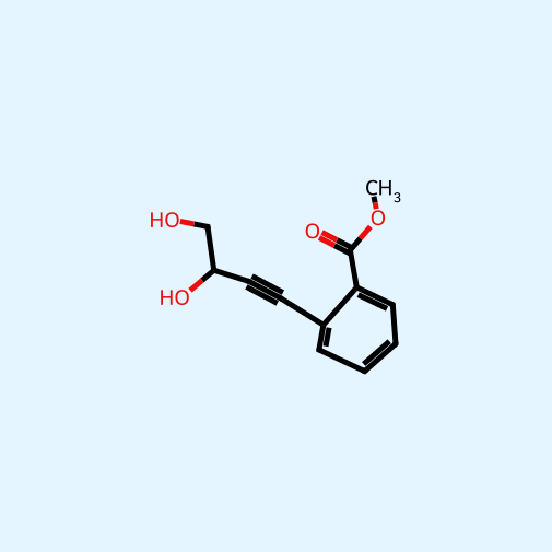 COC(=O)c1ccccc1C#CC(O)CO